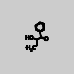 [CH2]CC(O)C(=O)c1ccccc1